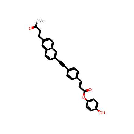 COC(=O)CCc1ccc2cc(C#Cc3ccc(/C=C/C(=O)Oc4ccc(O)cc4)cc3)ccc2c1